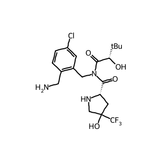 CC(C)(C)[C@H](O)C(=O)N(Cc1cc(Cl)ccc1CN)C(=O)[C@@H]1CC(O)(C(F)(F)F)CN1